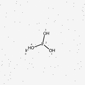 [Ir].[OH][Ir]([OH])[OH]